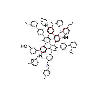 C=C(c1ccccc1)c1ccc(-c2c(-c3ccc(-c4cccc(CC)c4)cc3)c(C)c(-c3ccc(N(C)Cc4cccc(C)n4)cc3)c(-c3c(-c4ccc(/C=C/CCCCC)cc4)c(-c4ccc(-c5ccccc5OC)cc4)[c]c(-c4ccc(/C=C/c5ccc(C)cc5)cc4)c3-c3ccc(-c4cccc(CO)c4)cc3)c2-c2ccc(Nc3ccccc3)cc2-c2ccc(N3CCOCC3)cc2)cc1